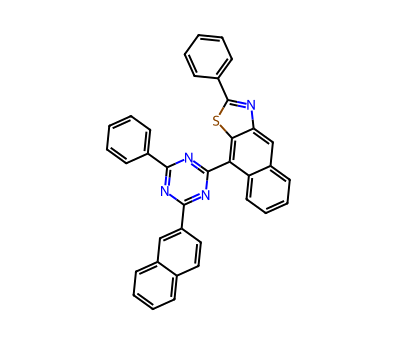 c1ccc(-c2nc(-c3ccc4ccccc4c3)nc(-c3c4ccccc4cc4nc(-c5ccccc5)sc34)n2)cc1